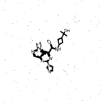 CC(C)(O)C1CC(NC(=O)c2nc(-n3ccnc3)nc3cn[nH]c23)C1